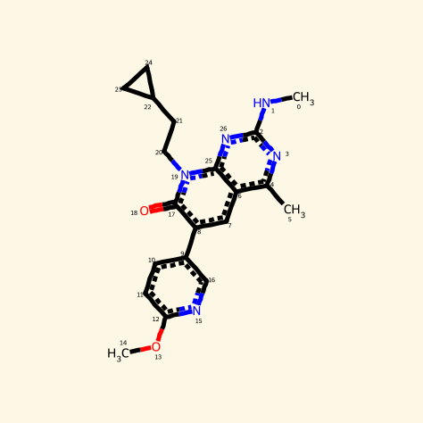 CNc1nc(C)c2cc(-c3ccc(OC)nc3)c(=O)n(CCC3CC3)c2n1